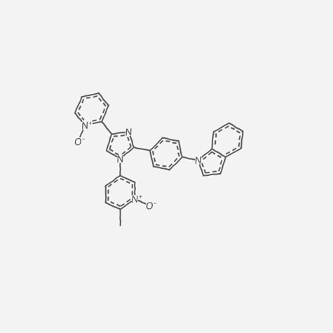 Cc1ccc(-n2cc(-c3cccc[n+]3[O-])nc2-c2ccc(-n3ccc4ccccc43)cc2)c[n+]1[O-]